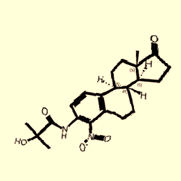 CC(C)(O)C(=O)Nc1ccc2c(c1[N+](=O)[O-])CC[C@@H]1[C@@H]2CC[C@]2(C)C(=O)CC[C@@H]12